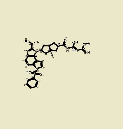 COC(=N)/N=C(\S)NC(=O)N1CC2C[C@H](n3c([C@@H](C)O)nc4cnc5c(ccn5S(=O)(=O)c5ccccc5)c43)C[C@H]2C1